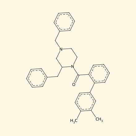 Cc1ccc(-c2ccccc2C(=O)N2CCN(Cc3ccccc3)CC2Cc2ccccc2)cc1C